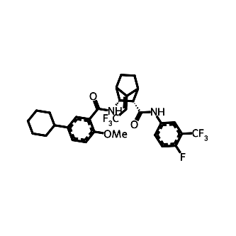 COc1ccc(C2CCCCC2)cc1C(=O)N[C@@H]1C2CCC(/C2=C/C(F)(F)F)[C@@H]1C(=O)Nc1ccc(F)c(C(F)(F)F)c1